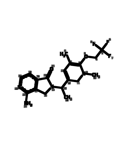 CC1=C(OCC(F)(F)F)N(C)CC(C(C)N2Cc3c(ccnc3N)C2=O)=C1